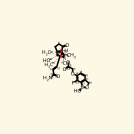 C[C@@H]1CC[C@@]23CCC(=O)[C@H]2[C@]1(C)[C@H](OC(=O)COc1ccc2c(c1F)B(O)OC2)C[C@@](C)(/C=C/C(N)=O)[C@@H](O)[C@@H]3C